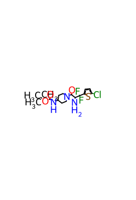 CC(C)(C)OC(=O)NC1CCN(C(=O)C(N)C(F)(F)c2ccc(Cl)s2)CC1